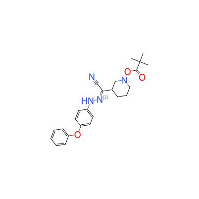 CC(C)(C)C(=O)ON1CCCC(/C(C#N)=N/Nc2ccc(Oc3ccccc3)cc2)C1